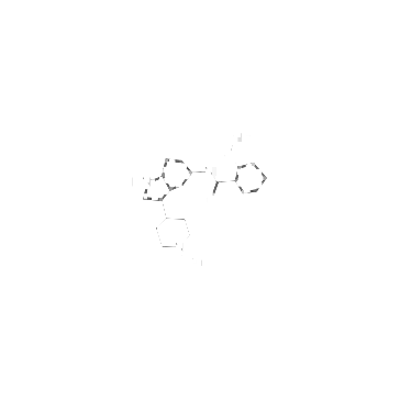 CCCOc1ccccc1C(=O)Nc1ccc2[nH]cc(C3CCN(C(C)(C)C)CC3)c2c1